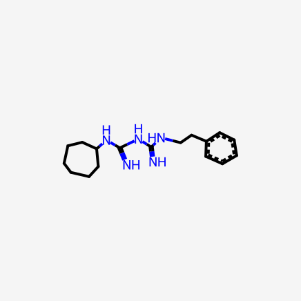 N=C(NCCc1ccccc1)NC(=N)NC1CCCCCC1